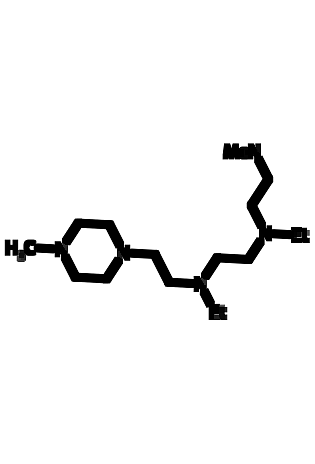 CCN(CCNC)CCN(CC)CCN1CCN(C)CC1